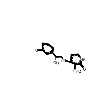 O=Cc1c(NC[C@H](O)c2cccc(Cl)c2)cc[nH]c1=O